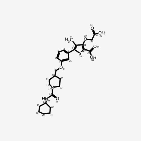 Cc1c(-c2cccc(OCC3CCN(C(=O)NC4CCCCC4)CC3)c2)sc(C(=O)O)c1OCC(=O)O